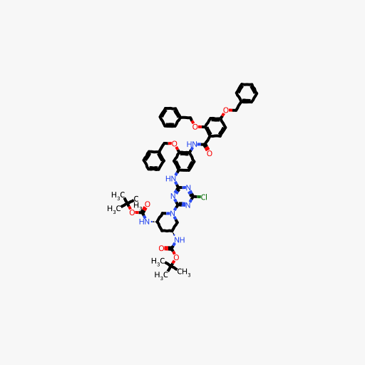 CC(C)(C)OC(=O)N[C@@H]1C[C@H](NC(=O)OC(C)(C)C)CN(c2nc(Cl)nc(Nc3ccc(NC(=O)c4ccc(OCc5ccccc5)cc4OCc4ccccc4)c(OCc4ccccc4)c3)n2)C1